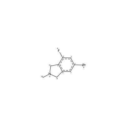 CC(C)c1cc(F)c2c(c1)CN(C)C2